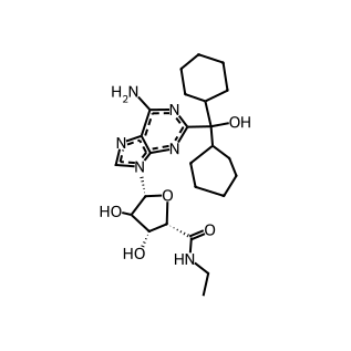 CCNC(=O)[C@H]1O[C@@H](n2cnc3c(N)nc(C(O)(C4CCCCC4)C4CCCCC4)nc32)C(O)[C@H]1O